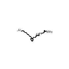 C=C(CNCCCCc1ccccc1CCCCCCCCC(C)=O)NC